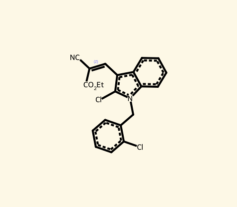 CCOC(=O)/C(C#N)=C\c1c(Cl)n(Cc2ccccc2Cl)c2ccccc12